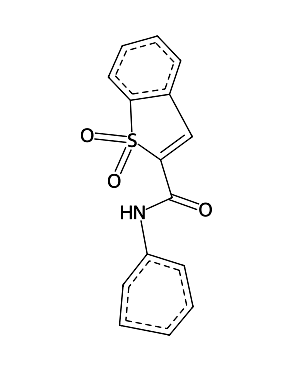 O=C(Nc1ccccc1)C1=Cc2ccccc2S1(=O)=O